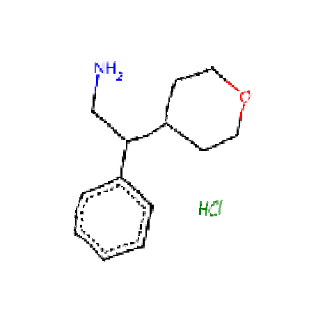 Cl.NCC(c1ccccc1)C1CCOCC1